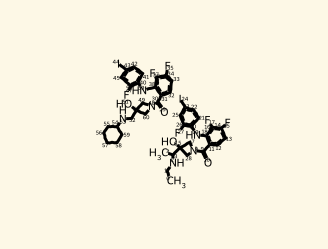 CCNC(C)C1(O)CN(C(=O)c2ccc(F)c(F)c2Nc2ccc(I)cc2F)C1.O=C(c1ccc(F)c(F)c1Nc1ccc(I)cc1F)N1CC(O)(CNC2CCCCC2)C1